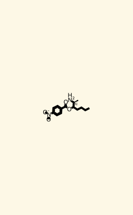 CCCCC(OC(=O)c1ccc([N+](=O)[O-])cc1)[C@H](C)N